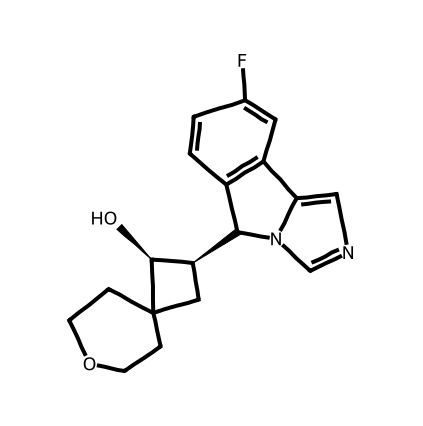 O[C@H]1[C@@H](C2c3ccc(F)cc3-c3cncn32)CC12CCOCC2